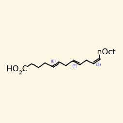 CCCCCCCC/C=C\C/C=C/C/C=C/CCCC(=O)O